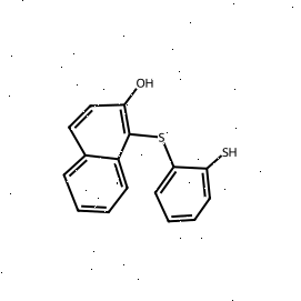 Oc1ccc2ccccc2c1Sc1ccccc1S